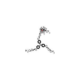 C=COCCOc1ccc([S+](c2ccc(OCCOC=C)cc2)c2ccc(OCCOC=C)cc2)cc1.O=S(=O)([O-])C(F)(F)C(F)(F)C(F)(F)C(F)(F)F